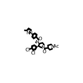 CC(=O)N1CCC(C(=O)N2CC[C@@H](N(C)C(=O)c3ccc(-n4ccc(C)n4)cc3)[C@H](c3ccc(Cl)c(Cl)c3)C2)CC1